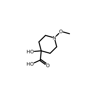 CON1CCC(O)(C(=O)O)CC1